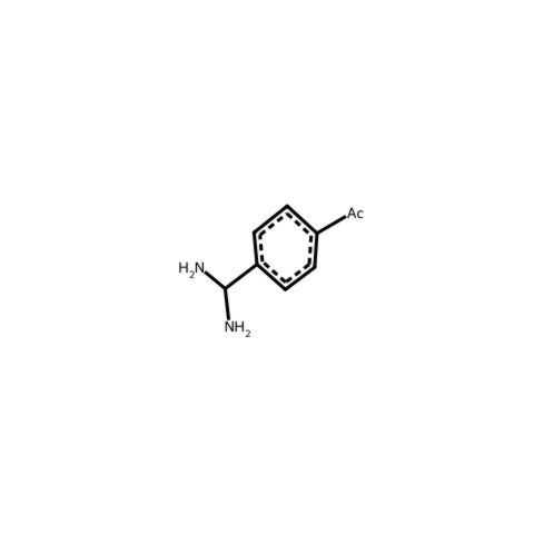 CC(=O)c1ccc(C(N)N)cc1